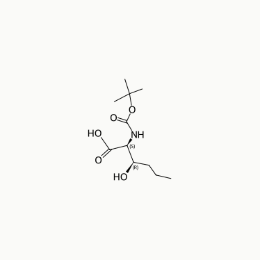 CCC[C@@H](O)[C@H](NC(=O)OC(C)(C)C)C(=O)O